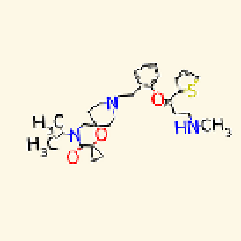 CNCC[C@@H](Oc1ccccc1CCN1CCC2(CC1)CN(C(C)C)C(=O)C1(CC1)O2)c1cccs1